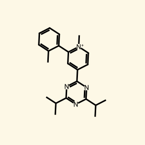 Cc1ccccc1-c1cc(-c2nc(C(C)C)nc(C(C)C)n2)cc[n+]1C